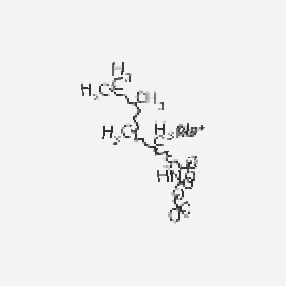 C/C(=C\CSCC(NC(=O)COCC(=O)[O-])C(=O)[O-])CCCC(C)CCCC(C)CCCC(C)C.[Na+].[Na+]